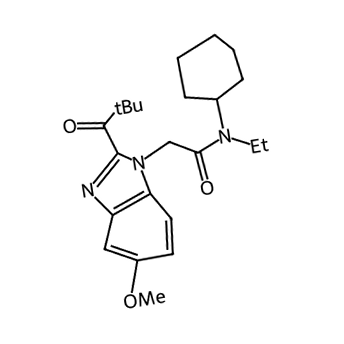 CCN(C(=O)Cn1c(C(=O)C(C)(C)C)nc2cc(OC)ccc21)C1CCCCC1